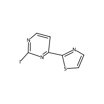 Ic1nccc(-c2nccs2)n1